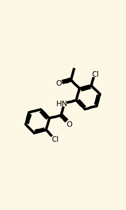 CC(=O)c1c(Cl)cccc1NC(=O)c1ccccc1Cl